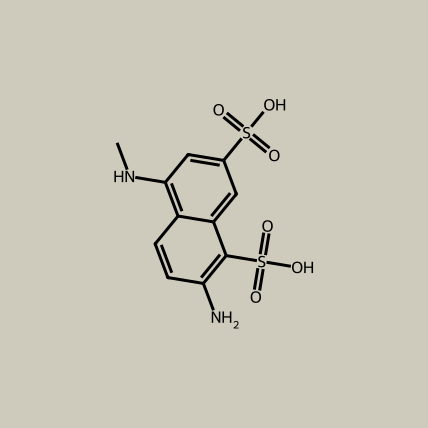 CNc1cc(S(=O)(=O)O)cc2c(S(=O)(=O)O)c(N)ccc12